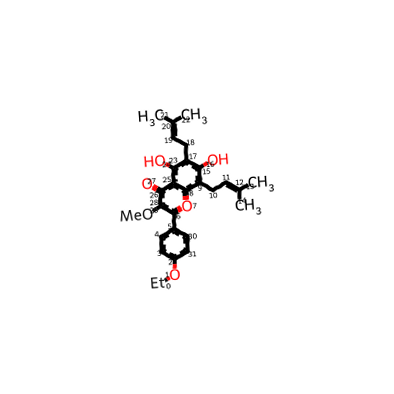 CCOc1ccc(-c2oc3c(CC=C(C)C)c(O)c(CC=C(C)C)c(O)c3c(=O)c2OC)cc1